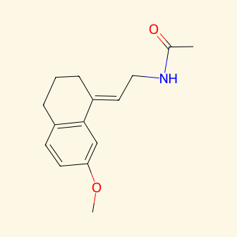 COc1ccc2c(c1)/C(=C/CNC(C)=O)CCC2